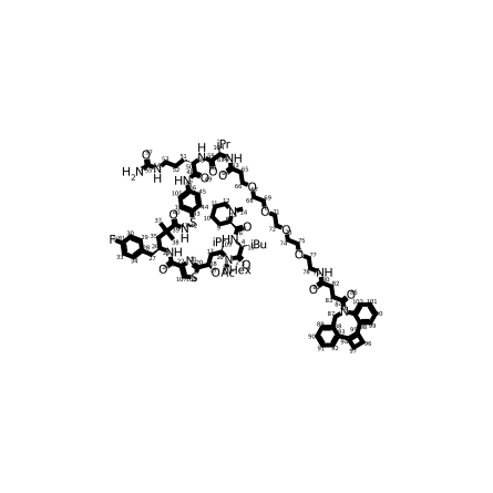 CCCCCCN(C(=O)[C@@H](NC(=O)[C@H]1CCCCN1C)[C@@H](C)CC)[C@H](C[C@@H](OC(C)=O)c1nc(C(=O)N[C@@H](Cc2ccc(F)cc2)CC(C)(C)C(=O)NSc2ccc(NC(=O)[C@H](CCCNC(N)=O)NC(=O)[C@@H](NC(=O)CCOCCOCCOCCOCCNC(=O)CCC(=O)N3Cc4ccccc4C4=C(CC4)c4ccccc43)C(C)C)cc2)cs1)C(C)C